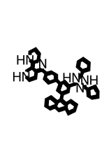 C1=Cc2nc(-c3ccc(-c4cc(-c5c6ccccc6cc6ccccc56)cc(C5N=C(c6ccccc6)NC(c6ccccc6)N5)c4)cc3)c3c(c2NC1)CNC=C3